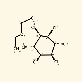 CCOCC.Cl[C@H]1[C@H](Cl)[C@@H](Cl)[C@@H](Cl)[C@H](Cl)[C@H]1Cl